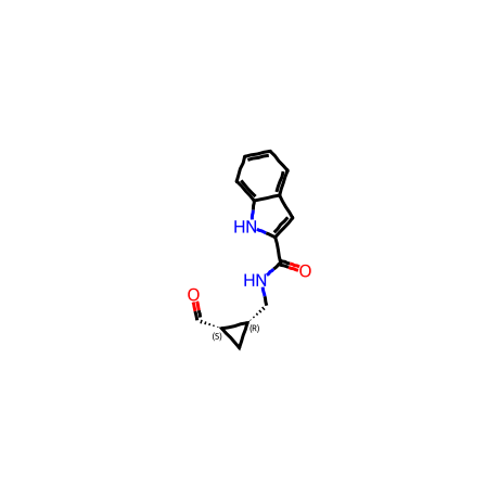 O=C[C@H]1C[C@H]1CNC(=O)c1cc2ccccc2[nH]1